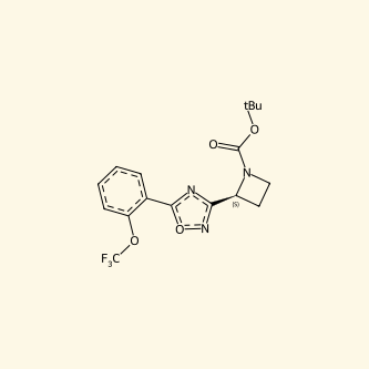 CC(C)(C)OC(=O)N1CC[C@H]1c1noc(-c2ccccc2OC(F)(F)F)n1